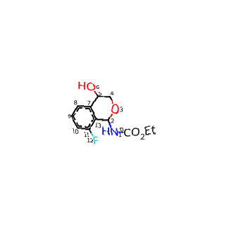 CCOC(=O)NC1OCC(O)c2cccc(F)c21